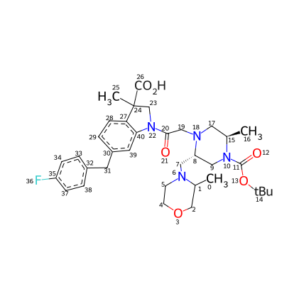 CC1COCCN1C[C@H]1CN(C(=O)OC(C)(C)C)[C@H](C)CN1CC(=O)N1CC(C)(C(=O)O)c2ccc(Cc3ccc(F)cc3)cc21